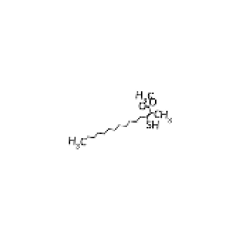 CCCCCCCCCCCCC(S)=C(C)C(=O)OC